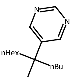 CCCCCCC(C)(CCCC)c1cncnc1